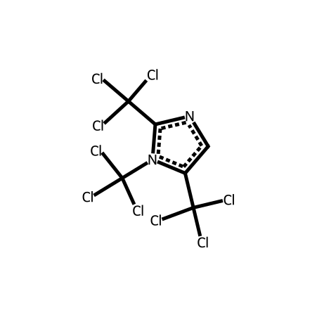 ClC(Cl)(Cl)c1cnc(C(Cl)(Cl)Cl)n1C(Cl)(Cl)Cl